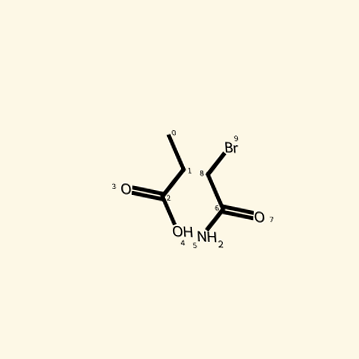 CCC(=O)O.NC(=O)CBr